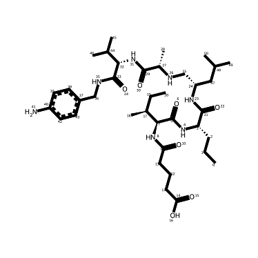 CCC[C@H](NC(=O)[C@@H](NC(=O)CCCC(=O)O)[C@@H](C)CC)C(=O)N[C@H](CN[C@@H](C)C(=O)N[C@H](C(=O)NCc1ccc(N)cc1)C(C)C)CC(C)C